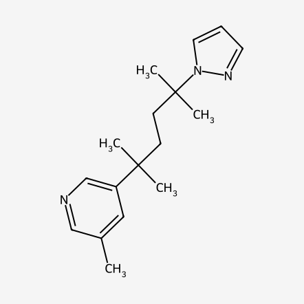 Cc1cncc(C(C)(C)CCC(C)(C)n2cccn2)c1